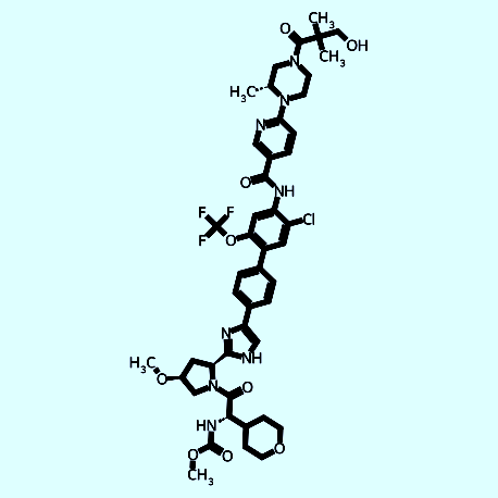 COC(=O)N[C@H](C(=O)N1C[C@@H](OC)C[C@H]1c1nc(-c2ccc(-c3cc(Cl)c(NC(=O)c4ccc(N5CCN(C(=O)C(C)(C)CO)C[C@H]5C)nc4)cc3OC(F)(F)F)cc2)c[nH]1)C1CCOCC1